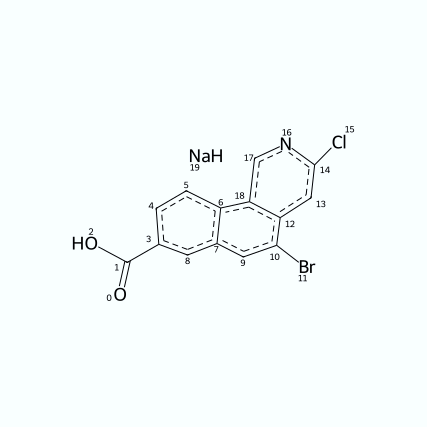 O=C(O)c1ccc2c(c1)cc(Br)c1cc(Cl)ncc12.[NaH]